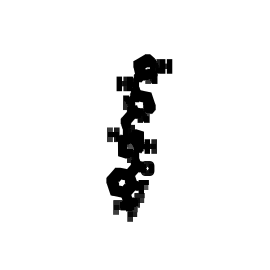 O=C(c1cccc(C(F)(F)F)c1F)N1C[C@@H]2C[C@H]1CN2Cc1nccc(Nc2cc[nH]n2)n1